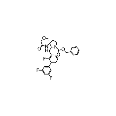 O=C1COC[C@@]2(CCN(C(=O)OCc3ccccc3)[C@H]2Cc2cccc(-c3cc(F)cc(F)c3)c2F)N1